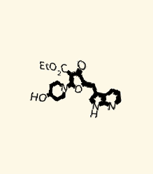 CCOC(=O)C1=C(N2CCC(O)CC2)OC(=Cc2c[nH]c3ncccc23)C1=O